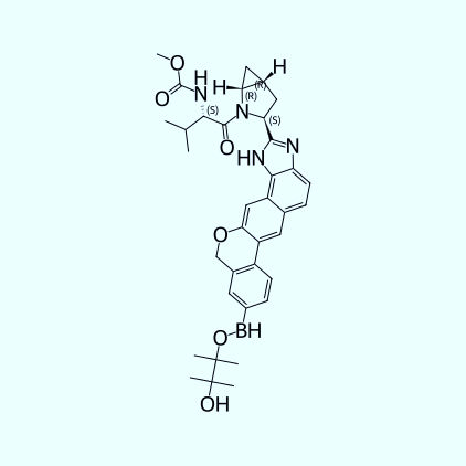 COC(=O)N[C@H](C(=O)N1[C@@H]2C[C@@H]2C[C@H]1c1nc2ccc3cc4c(cc3c2[nH]1)OCc1cc(BOC(C)(C)C(C)(C)O)ccc1-4)C(C)C